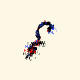 C=C/C=C/C=C(\C)[C@H](C[C@@H]1CC[C@@H](C)[C@](O)(C(=O)C(=O)N2CCCC[C@H]2C(=O)O[C@@H](C[C@@H](O)[C@H](C)/C=C(\C)[C@@H](O)[C@@H](O)/C(=N/OCC(=O)N2CCc3nc(N4CCN(CCOCCN5CCN(c6ncc(C(=O)N7CCc8cc(Cn9nc(-c%10ccc%11oc(N)nc%11c%10)c%10c(N)ncnc%109)ccc8C7)cn6)CC5)CC4)ncc3C2)[C@H](C)CC(C)C)[C@H](N)C[C@@H]2CC[C@@H](O)[C@H](OC)C2)O1)OC